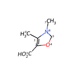 CC1=C(C(=O)O)OCN1C